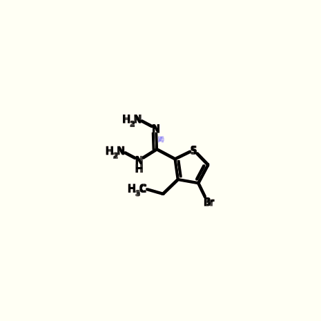 CCc1c(Br)csc1/C(=N/N)NN